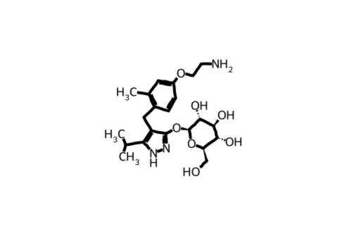 Cc1cc(OCCN)ccc1Cc1c(O[C@@H]2O[C@H](CO)[C@@H](O)[C@H](O)[C@H]2O)n[nH]c1C(C)C